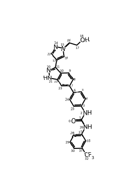 O=C(Nc1ccc(-c2ccc3c(-c4cnn(CCO)c4)n[nH]c3c2)cc1)Nc1cccc(C(F)(F)F)c1